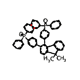 CC1(C)c2ccccc2-c2c1ccc(-c1ccc(P(=O)(c3ccccc3)c3ccccc3)cc1)c2-c1ccc(P(=O)(c2ccccc2)c2ccccc2)cc1